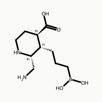 NC[C@@H]1NCC[C@@H](C(=O)O)[C@@H]1CCCB(O)O